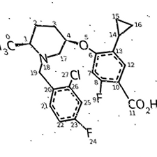 C[C@H]1CC[C@@H](Oc2cc(F)c(C(=O)O)cc2C2CC2)CN1Cc1ccc(F)cc1Cl